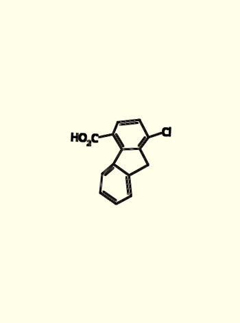 O=C(O)c1ccc(Cl)c2c1-c1ccccc1C2